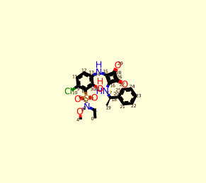 CCN(OC)S(=O)(=O)c1c(Cl)ccc(Nc2c(N[C@H](C)c3ccccc3)c(=O)c2=O)c1O